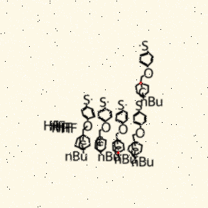 CCCCC12CCC(COc3ccc([S])cc3)(CC1)CC2.CCCCC12CCC(COc3ccc([S])cc3)(CC1)CC2.CCCCC12CCC(COc3ccc([S])cc3)(CC1)CC2.CCCCC12CCC(COc3ccc([S])cc3)(CC1)CC2.CCCCC12CCC(COc3ccc([S])cc3)(CC1)CC2.F.F.F.F.F